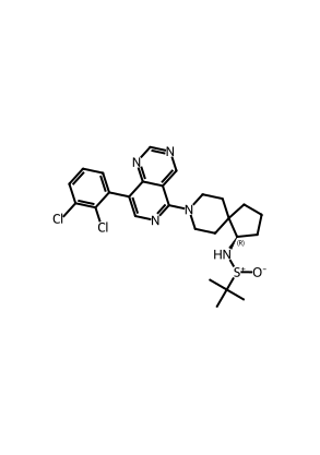 CC(C)(C)[S+]([O-])N[C@@H]1CCCC12CCN(c1ncc(-c3cccc(Cl)c3Cl)c3ncncc13)CC2